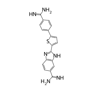 N=C(N)c1ccc(-c2ccc(-c3nc4ccc(C(=N)N)cc4[nH]3)s2)cc1